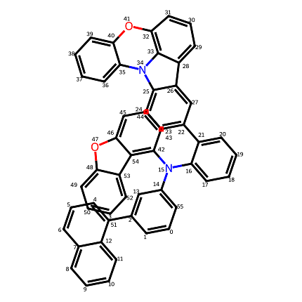 c1cc(-c2cccc3ccccc23)cc(N(c2ccccc2-c2ccc3c(c2)c2cccc4c2n3-c2ccccc2O4)c2cccc3oc4ccccc4c23)c1